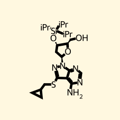 CC(C)[Si](O[C@H]1C[C@H](n2nc(SCC3CC3)c3c(N)ncnc32)O[C@@H]1CO)(C(C)C)C(C)C